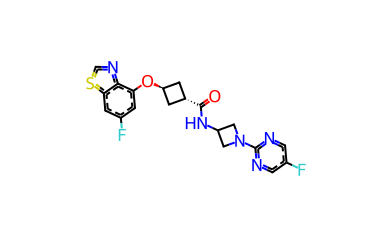 O=C(NC1CN(c2ncc(F)cn2)C1)[C@H]1C[C@H](Oc2cc(F)cc3scnc23)C1